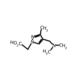 Cc1nn(CC(=O)O)cc1CN(C)C